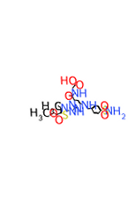 CCOC(=O)c1sc(Nc2nc(NCc3ccc(S(N)(=O)=O)cc3)cc(C(=O)NCC(=O)O)n2)nc1C